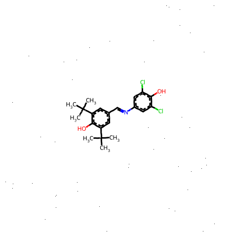 CC(C)(C)c1cc(/C=N/c2cc(Cl)c(O)c(Cl)c2)cc(C(C)(C)C)c1O